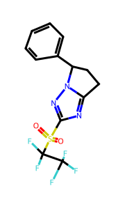 O=S(=O)(c1nc2n(n1)C(c1ccccc1)CC2)C(F)(F)C(F)(F)F